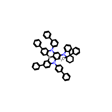 CC12CCCCC1(c1ccccc1)c1ccccc1N2c1cc2c3c(c1)N(c1cccc(-c4ccccc4)c1)c1cc(-c4ccccc4)ccc1B3c1cc(-c3ccccc3)ccc1N2c1ccc(-c2ccccc2)cc1